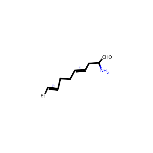 CC/C=C/CC/C=C/CC(N)C=O